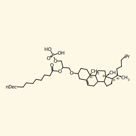 CCCCCCCCCCCCCCCCCC(=O)OC(COC1CC[C@@]2(C)C(=CCC3C2CC[C@@]2(C)C3CC[C@@H]2[C@H](C)CCCC(C)C)C1)COP(=O)(O)O